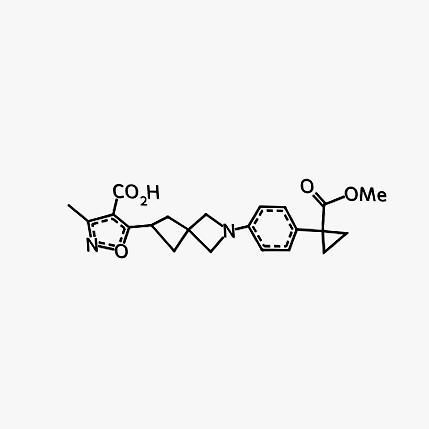 COC(=O)C1(c2ccc(N3CC4(CC(c5onc(C)c5C(=O)O)C4)C3)cc2)CC1